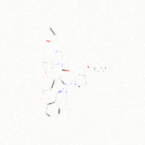 C=CC(=O)N1CCN2C(=O)c3c(N4CC(C(=O)NC)CC4(C)C)nc(-c4c(O)cccc4F)c(Cl)c3OC[C@H]2C1